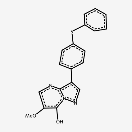 COc1cnc2c(-c3ccc(Sc4ccccc4)cc3)cnn2c1O